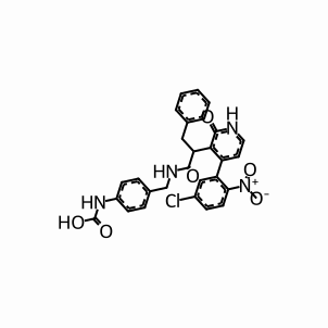 O=C(O)Nc1ccc(CNC(=O)C(Cc2ccccc2)c2c(-c3cc(Cl)ccc3[N+](=O)[O-])cc[nH]c2=O)cc1